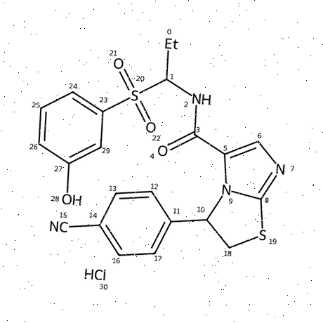 CCC(NC(=O)c1cnc2n1C(c1ccc(C#N)cc1)CS2)S(=O)(=O)c1cccc(O)c1.Cl